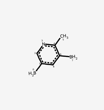 Bc1cnc(C)c(B)c1